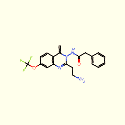 C=C1c2ccc(OC(F)(F)F)cc2N=C(CCN)N1NC(=O)Cc1ccccc1